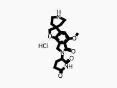 COc1cc2c(c3c1C(=O)N(C1CCC(=O)NC1=O)C3)OCC21CCNCC1.Cl